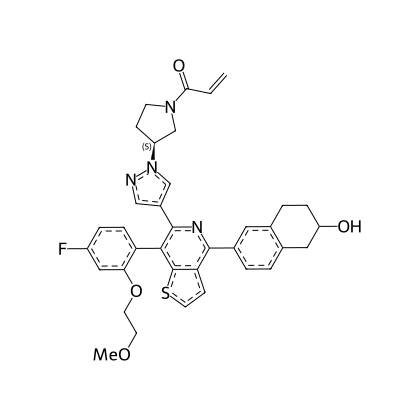 C=CC(=O)N1CC[C@H](n2cc(-c3nc(-c4ccc5c(c4)CCC(O)C5)c4ccsc4c3-c3ccc(F)cc3OCCOC)cn2)C1